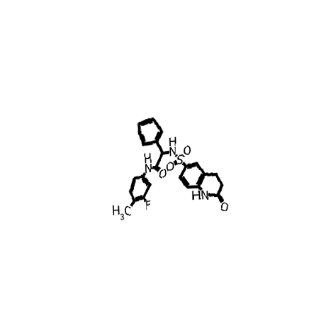 Cc1ccc(NC(=O)C(NS(=O)(=O)c2ccc3c(c2)CCC(=O)N3)c2ccccc2)cc1F